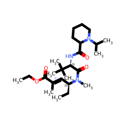 CCOC(=O)/C(C)=C/[C@H](CC)N(C)C(=O)[C@@H](NC(=O)C1CCCCN1C(C)C)C(C)(C)C